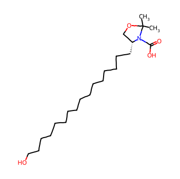 CC1(C)OC[C@@H](CCCCCCCCCCCCCCCCO)N1C(=O)O